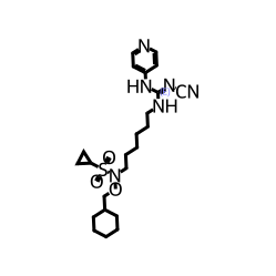 N#C/N=C(\NCCCCCCN(OCC1CCCCC1)S(=O)(=O)C1CC1)Nc1ccncc1